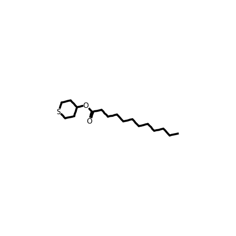 CCCCCCCCCCCC(=O)OC1CCSCC1